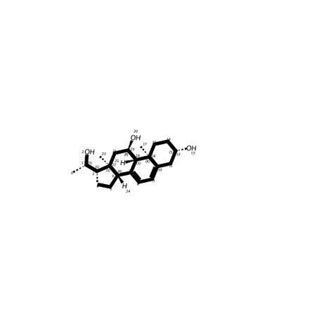 C[C@H](O)[C@H]1CC[C@H]2C3=CC=C4C[C@@H](O)CC[C@]4(C)[C@H]3[C@H](O)C[C@]12C